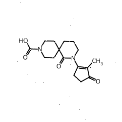 CC1=C(N2CCCC3(CCN(C(=O)O)CC3)C2=O)CCC1=O